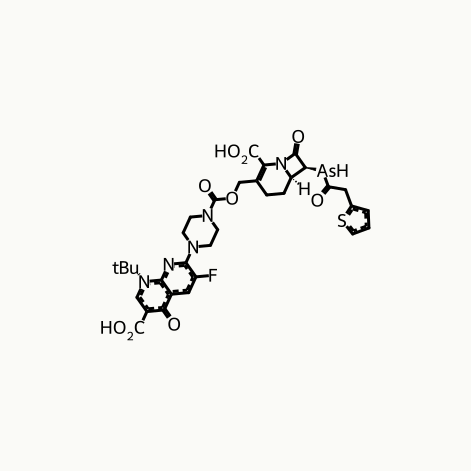 CC(C)(C)n1cc(C(=O)O)c(=O)c2cc(F)c(N3CCN(C(=O)OCC4=C(C(=O)O)N5C(=O)[C@@H]([AsH]C(=O)Cc6cccs6)[C@H]5CC4)CC3)nc21